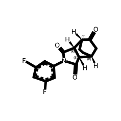 O=C1C[C@H]2CC[C@@H]1[C@H]1C(=O)N(c3cc(F)cc(F)c3)C(=O)[C@@H]21